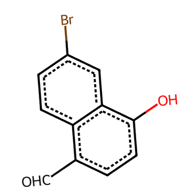 O=Cc1ccc(O)c2cc(Br)ccc12